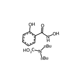 CCCCN(CCCC)C(=O)O.O=C(NO)c1ccccc1O